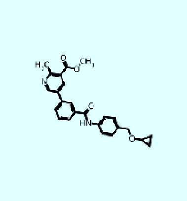 COC(=O)c1cc(-c2cccc(C(=O)Nc3ccc(COC4CC4)cc3)c2)cnc1C